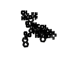 C=CCNC(=O)C(=O)C(CCC(F)(F)F)NC(=O)[C@@H]1C[C@@H](OC(=O)N2CCc3ccccc3C2)CN1C(=O)[C@@H](NC(=O)NC1(CS(=O)(=O)C(C)(C)C)CCCCC1)C(C)(C)C